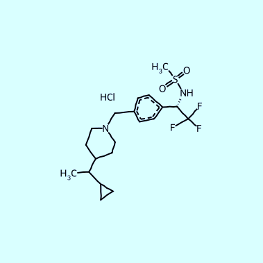 CC(C1CC1)C1CCN(Cc2ccc([C@H](NS(C)(=O)=O)C(F)(F)F)cc2)CC1.Cl